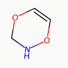 C1=CONCO1